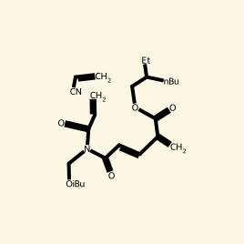 C=CC#N.C=CC(=O)N(COCC(C)C)C(=O)C=CC(=C)C(=O)OCC(CC)CCCC